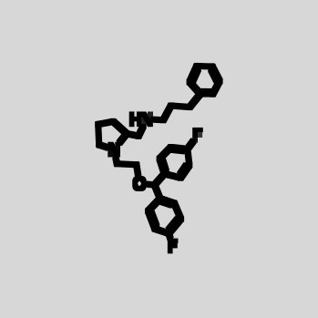 Fc1ccc(C(OCCN2CCCC2CNCCCc2ccccc2)c2ccc(F)cc2)cc1